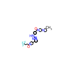 CC1CCCN(C2CCN(C(=O)c3ccc(Nc4nc5c(C6=CCN(C(=O)CCC(F)(F)F)CC6)cccn5n4)cc3)CC2)C1